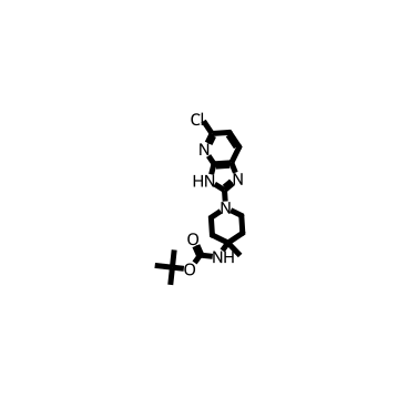 CC1(NC(=O)OC(C)(C)C)CCN(c2nc3ccc(Cl)nc3[nH]2)CC1